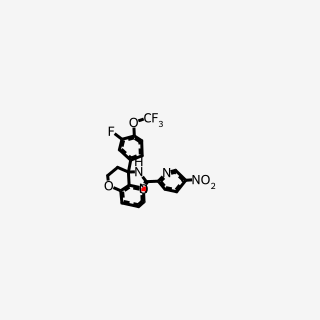 O=C(NC1(c2ccc(OC(F)(F)F)c(F)c2)CCOc2cccnc21)c1ccc([N+](=O)[O-])cn1